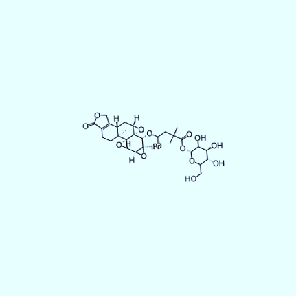 CC(C)[C@]12O[C@H]1[C@@H]1O[C@]13[C@]1(O[C@H]1C[C@H]1C4=C(CC[C@@]13C)C(=O)OC4)[C@@H]2OC(=O)CC(C)(C)C(=O)O[C@H]1OC(CO)[C@@H](O)[C@H](O)C1O